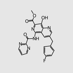 COC(=O)c1nc(NC(=O)c2ncccn2)c2cc(Cc3ccc(F)cc3)cnc2c1O